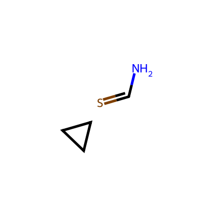 C1CC1.NC=S